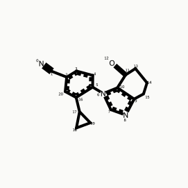 N#Cc1ccc(-n2cnc3c2C(=O)CCC3)c(C2CC2)c1